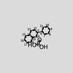 OP(O)Oc1c(-c2ccccc2)ccc2ccccc12